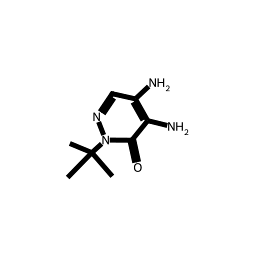 CC(C)(C)n1ncc(N)c(N)c1=O